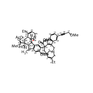 CCC1=C[C@H]2CN(C1)Cc1c([nH]c3ccc(C#CCOC)cc13)[C@@](C(=O)OC)(c1cc3c(cc1OC)N(C)[C@H]1[C@@](O)(C(=O)OC)[C@H](OC(C)=O)C4C(CC)=CCN5CC[C@]31[C@H]45)C2